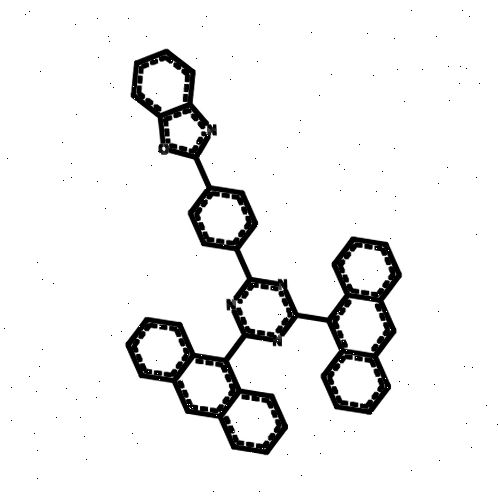 c1ccc2c(-c3nc(-c4ccc(-c5nc6ccccc6o5)cc4)nc(-c4c5ccccc5cc5ccccc45)n3)c3ccccc3cc2c1